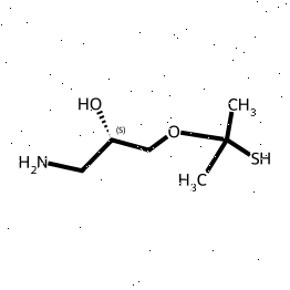 CC(C)(S)OC[C@@H](O)CN